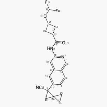 N#CC1(c2ccc3cnc(NC(=O)C4CC(OC(F)F)C4)cc3c2)CC12CC2